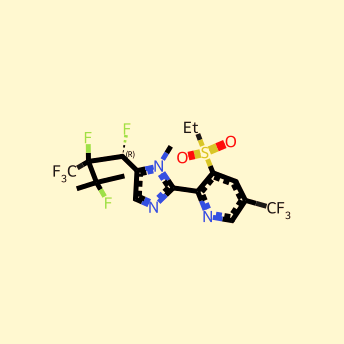 CCS(=O)(=O)c1cc(C(F)(F)F)cnc1-c1ncc([C@@H](F)C(F)(C(C)(C)F)C(F)(F)F)n1C